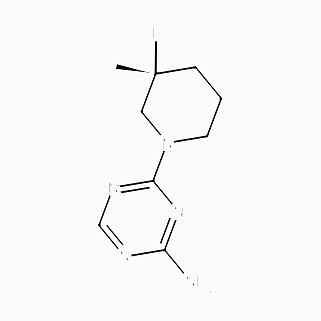 C[C@@]1(F)CCCN(c2ncnc(N)n2)C1